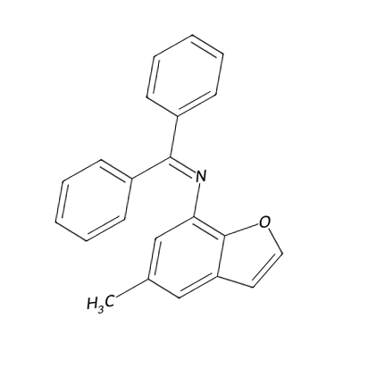 Cc1cc(N=C(c2ccccc2)c2ccccc2)c2occc2c1